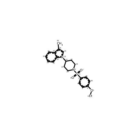 CCOc1ccc(S(=O)(=O)N2CCC(n3cc(C)c4ccccc43)CC2)cc1